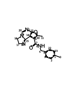 Cc1ccc(CNC(=O)c2c(C)oc3c2C2=NCCN2C=N3)cc1